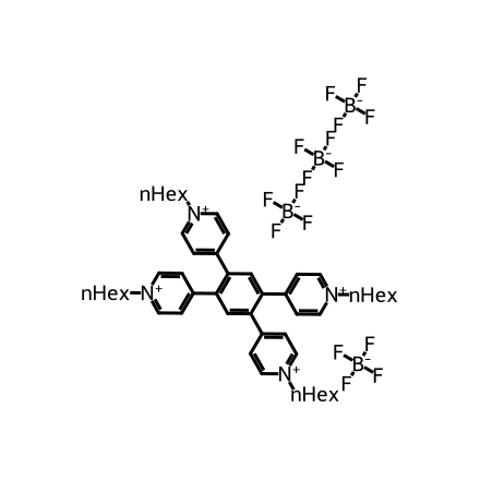 CCCCCC[n+]1ccc(-c2cc(-c3cc[n+](CCCCCC)cc3)c(-c3cc[n+](CCCCCC)cc3)cc2-c2cc[n+](CCCCCC)cc2)cc1.F[B-](F)(F)F.F[B-](F)(F)F.F[B-](F)(F)F.F[B-](F)(F)F